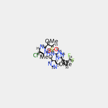 COc1ncnc(OC)c1-n1c(NS(=O)(=O)C(C)C(OC)c2ncc(Cl)cn2)nnc1[C@@H]1CC[C@H]1C(F)F